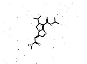 CNC(=O)/C=C1\CSC2=C(C(=O)OC(C)C)C(C(C)C)CN21